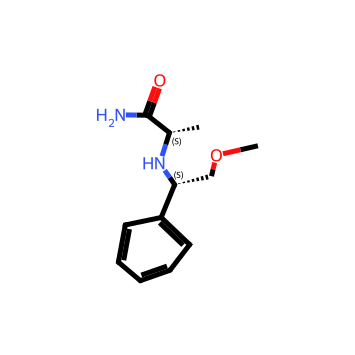 COC[C@@H](N[C@@H](C)C(N)=O)c1ccccc1